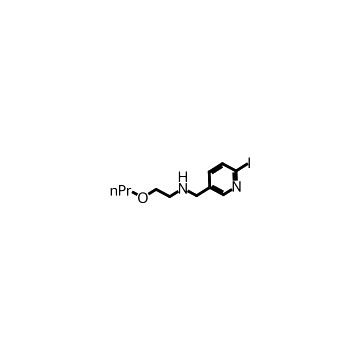 CCCOCCNCc1ccc(I)nc1